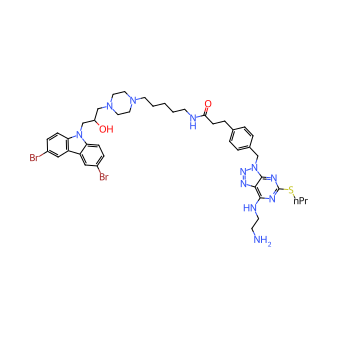 CCCSc1nc(NCCN)c2nnn(Cc3ccc(CCC(=O)NCCCCCN4CCN(CC(O)Cn5c6ccc(Br)cc6c6cc(Br)ccc65)CC4)cc3)c2n1